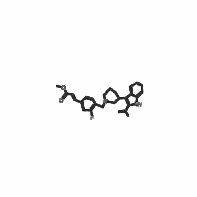 C=C(C)c1[nH]c2ccccc2c1C1CCCN(Cc2ccc(C=CC(=O)OC)cc2F)C1